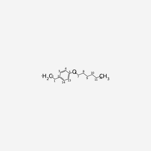 [CH2]Cc1ccc(OCCCCCC)cc1